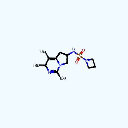 CC(C)(C)C1=NC(C(C)(C)C)C(C(C)(C)C)=C2CC(NS(=O)(=O)N3CCC3)CN12